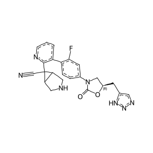 N#CC1(c2ncccc2-c2ccc(N3C[C@@H](Cc4cnn[nH]4)OC3=O)cc2F)C2CNCC21